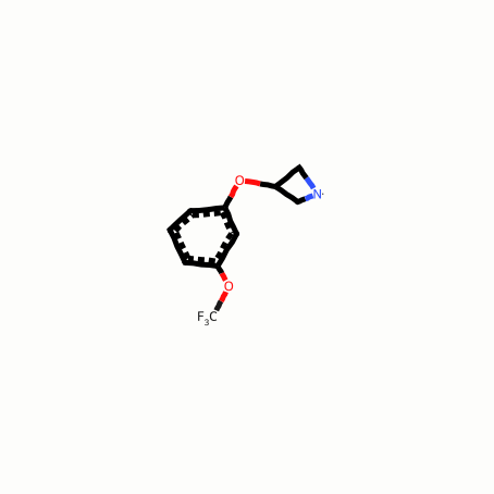 FC(F)(F)Oc1cccc(OC2C[N]C2)c1